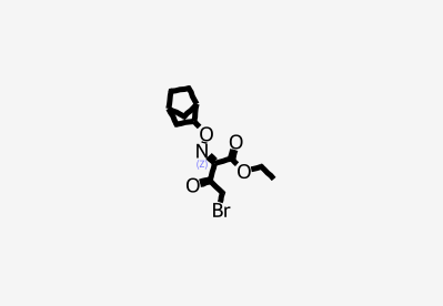 CCOC(=O)/C(=N\OC1CC2CCC1C2)C(=O)CBr